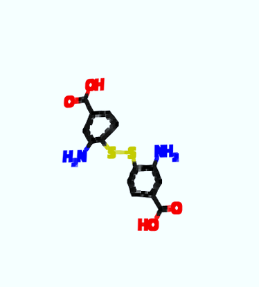 Nc1cc(C(=O)O)ccc1SSc1ccc(C(=O)O)cc1N